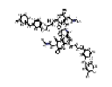 C/C=C/Cc1c(C)n(OC(=O)/C=C\C(=O)On2c(NCCCOc3cccc(CN4CCCC(C)C4)c3)nc(=O)c(C/C=C/C)c2C)c(NCCCOc2cccc(CN3CCCC(C)C3)c2)nc1=O